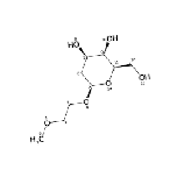 COCCO[C@H]1C[C@@H](O)[C@@H](O)[C@@H](CO)O1